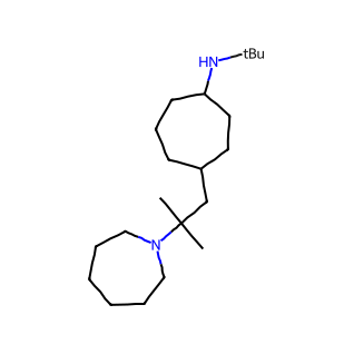 CC(C)(C)NC1CCCC(CC(C)(C)N2CCCCCC2)CC1